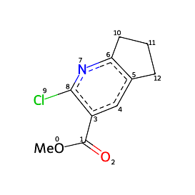 COC(=O)c1cc2c(nc1Cl)CCC2